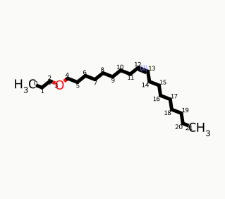 CC[CH]OCCCCCCCC/C=C\CCCCCCCC